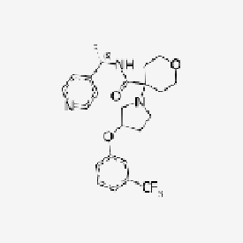 C[C@H](NC(=O)C1(N2CCC(Oc3cccc(C(F)(F)F)c3)C2)CCOCC1)c1ccncc1